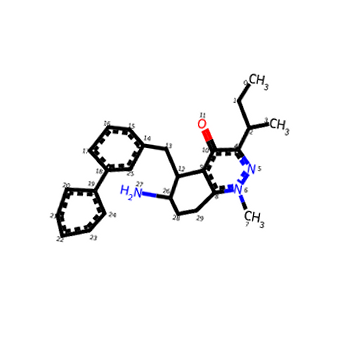 CCC(C)c1nn(C)c2c(c1=O)C(Cc1cccc(-c3ccccc3)c1)C(N)CC2